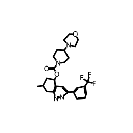 CC1Cc2nnc(-c3cccc(C(F)(F)F)c3)cc2C(OC(=O)N2CCC(N3CCOCC3)CC2)C1